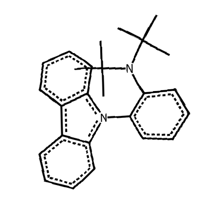 CC(C)(C)N(c1ccccc1-n1c2ccccc2c2ccccc21)C(C)(C)C